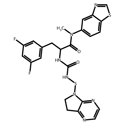 CN(C(=O)C(Cc1cc(F)cc(F)c1)NC(=O)NSN1CCc2nccnc21)c1ccc2scnc2c1